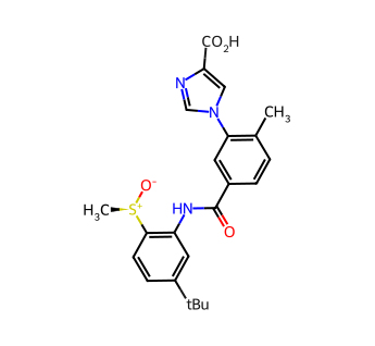 Cc1ccc(C(=O)Nc2cc(C(C)(C)C)ccc2[S@@+](C)[O-])cc1-n1cnc(C(=O)O)c1